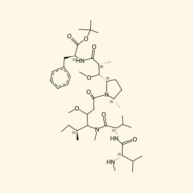 CC[C@H](C)C(C(CC(=O)N1[C@@H](C)CC[C@H]1C(OC)[C@@H](C)C(=O)N[C@@H](Cc1ccccc1)C(=O)OC(C)(C)C)OC)N(C)C(=O)[C@@H](NC(=O)[C@@H](NC)C(C)C)C(C)C